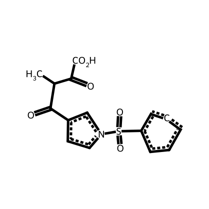 CC(C(=O)C(=O)O)C(=O)c1ccn(S(=O)(=O)c2ccccc2)c1